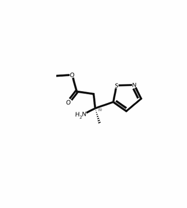 COC(=O)C[C@](C)(N)c1ccns1